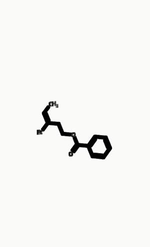 C/C=C(/CC)CCOC(=O)c1ccccc1